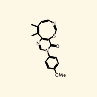 COc1ccc(-n2cnc3c(C)c(C)ccncsc3c2=O)cc1